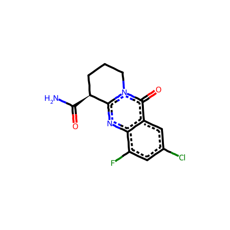 NC(=O)[C@H]1CCCn2c1nc1c(F)cc(Cl)cc1c2=O